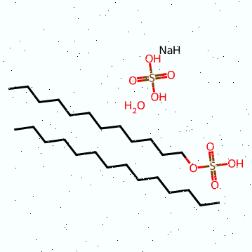 CCCCCCCCCCCCCC.CCCCCCCCCCCCOS(=O)(=O)O.O.O=S(=O)(O)O.[NaH]